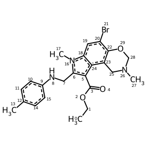 CCOC(=O)c1c(CNc2ccc(C)cc2)n(C)c2cc(Br)c3c(c12)CN(C)CO3